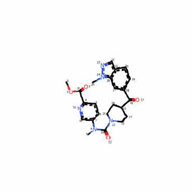 COC(=O)c1ccc(N(C)C(=O)N2CCC(C(=O)c3ccc4cnn(C)c4c3)CC2)cn1